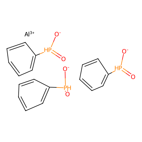 O=[PH]([O-])c1ccccc1.O=[PH]([O-])c1ccccc1.O=[PH]([O-])c1ccccc1.[Al+3]